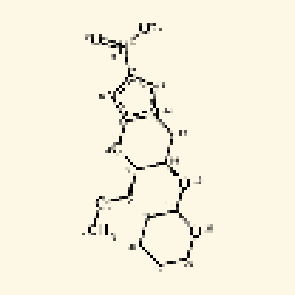 COC[C@H]1Oc2nc([N+](=O)[O-])cn2C[C@H]1OC1CCCCO1